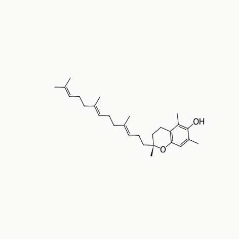 CC(C)=CCC/C(C)=C/CC/C(C)=C/CC[C@]1(C)CCc2c(cc(C)c(O)c2C)O1